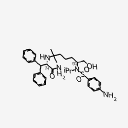 CC(C)N([C@H](CO)CCCC(C)(C)N[C@H](C(N)=O)C(c1ccccc1)c1ccccc1)S(=O)(=O)c1ccc(N)cc1